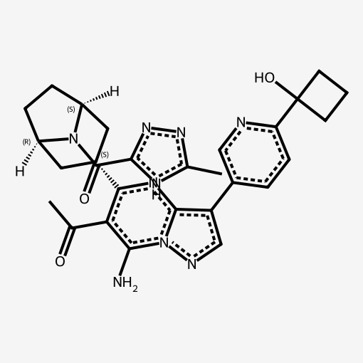 CC(=O)c1c([C@@H]2C[C@H]3CC[C@@H](C2)N3C(=O)c2nnc(C)[nH]2)nc2c(-c3ccc(C4(O)CCC4)nc3)cnn2c1N